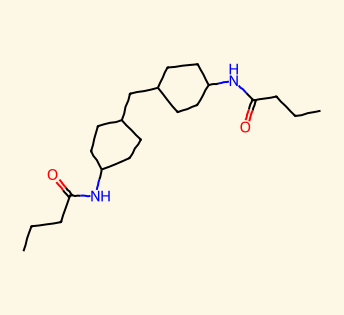 CCCC(=O)NC1CCC(CC2CCC(NC(=O)CCC)CC2)CC1